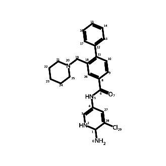 NC1NC=C(NC(=O)c2ccc(-c3ccccc3)c(CN3CCCCC3)c2)C=C1Cl